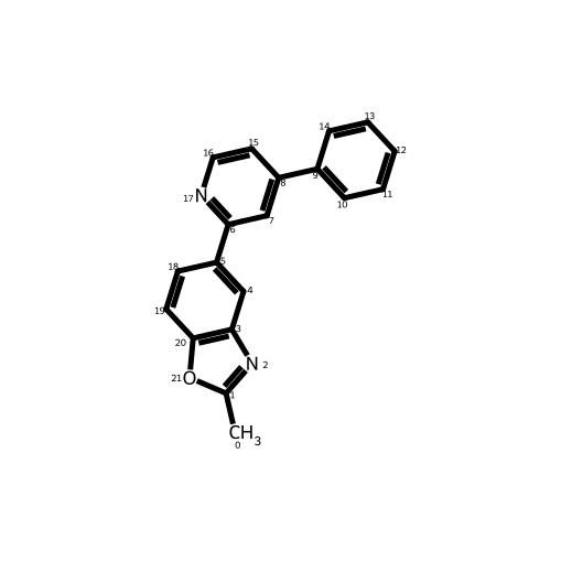 Cc1nc2cc(-c3cc(-c4ccccc4)ccn3)ccc2o1